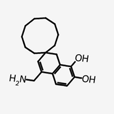 NCC1=CC2(CCCCCCCCC2)Cc2c1ccc(O)c2O